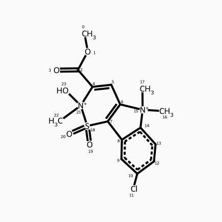 COC(=O)C1=CC2=C(c3cc(Cl)ccc3[N+]2(C)C)S(=O)(=O)[N+]1(C)O